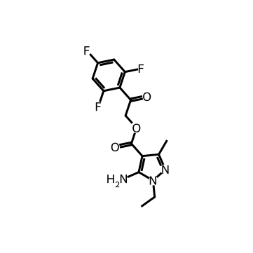 CCn1nc(C)c(C(=O)OCC(=O)c2c(F)cc(F)cc2F)c1N